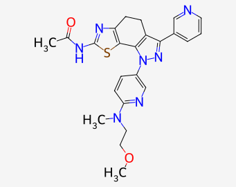 COCCN(C)c1ccc(-n2nc(-c3cccnc3)c3c2-c2sc(NC(C)=O)nc2CC3)cn1